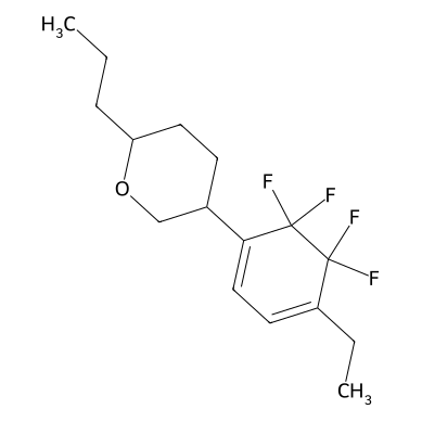 CCCC1CCC(C2=CC=C(CC)C(F)(F)C2(F)F)CO1